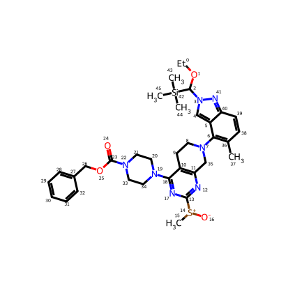 CCOC(n1cc2c(N3CCc4c(nc([S+](C)[O-])nc4N4CCN(C(=O)OCc5ccccc5)CC4)C3)c(C)ccc2n1)[Si](C)(C)C